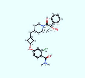 CN(C)C(=O)c1ccc(OC2CC(CC3CCN(C(=O)[C@](O)(c4ccccc4)C(F)(F)F)CC3)C2)cc1Cl